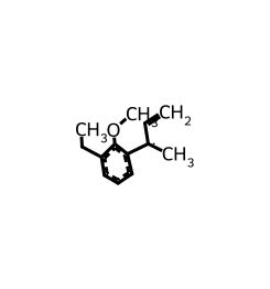 C=C[C](C)c1cccc(CC)c1OC